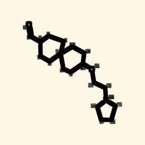 O=CC1CCC2(CC1)CCC(OCCN1CCCC1)CC2